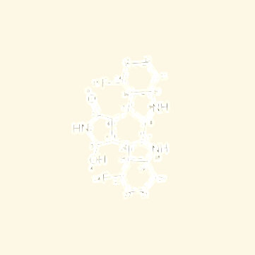 O=C1NC(O)c2c1c1c([nH]c3cccc(F)c31)c1[nH]c3cccc(F)c3c21